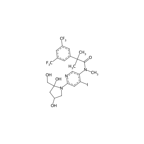 CN(C(=O)C(C)(C)c1cc(C(F)(F)F)cc(C(F)(F)F)c1)c1cnc(N2CC(O)CC2(O)CO)cc1I